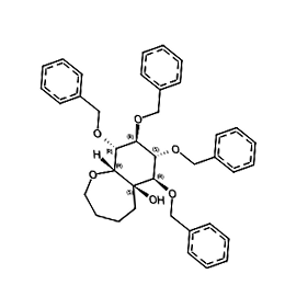 O[C@@]12CCCCO[C@@H]1[C@H](OCc1ccccc1)[C@@H](OCc1ccccc1)[C@H](OCc1ccccc1)[C@H]2OCc1ccccc1